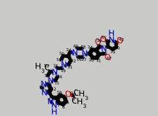 CC(C)Oc1ccc2[nH]nc(-c3cc(N4CCN(CCN5CCC(CN6CCN(c7ccc8c(c7)C(=O)N(C7CCC(=O)NC7=O)C8=O)CC6)CC5)[C@@H](C)C4)ncn3)c2c1